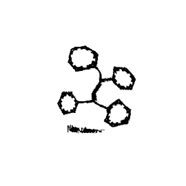 [N-]=[N+]=[N-].c1ccc(C(=C(c2ccccc2)c2ccccc2)c2ccccc2)cc1